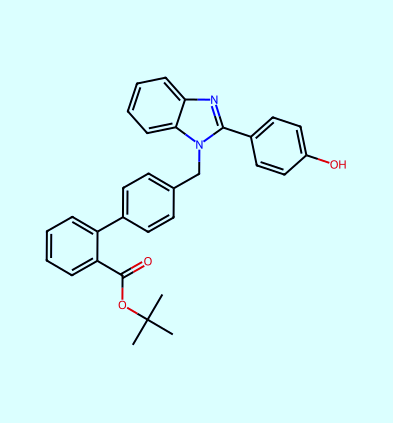 CC(C)(C)OC(=O)c1ccccc1-c1ccc(Cn2c(-c3ccc(O)cc3)nc3ccccc32)cc1